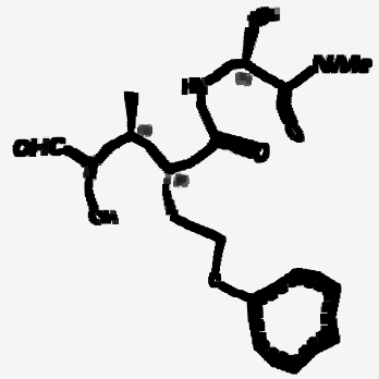 CNC(=O)[C@@H](NC(=O)[C@H](CCOc1ccccc1)[C@H](C)N(O)C=O)C(C)(C)C